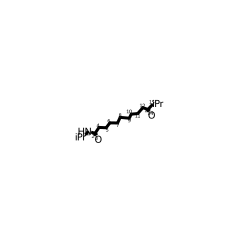 CC(C)NC(=O)CCCCCCCCCC(=O)C(C)C